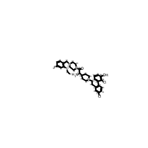 CCSc1cc(F)ccc1CN1CCN(C(=O)[C@H](N)C2CCN(CCc3cc(Cl)ccc3-c3cccc(O)c3Cl)CC2)CC1